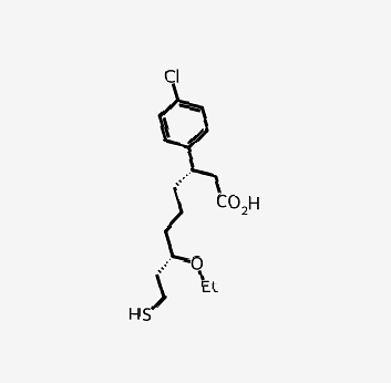 CCO[C@H](CCS)CCC[C@@H](CC(=O)O)c1ccc(Cl)cc1